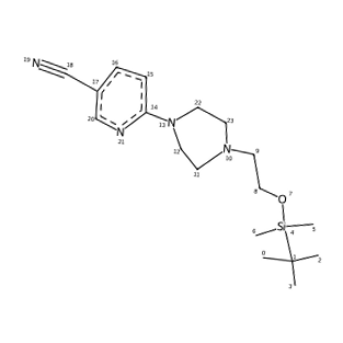 CC(C)(C)[Si](C)(C)OCCN1CCN(c2ccc(C#N)cn2)CC1